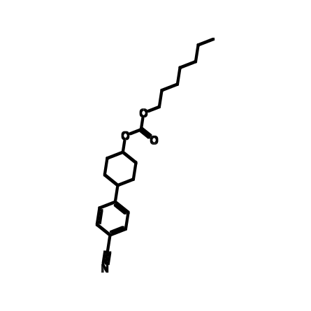 CCCCCCCOC(=O)OC1CCC(c2ccc(C#N)cc2)CC1